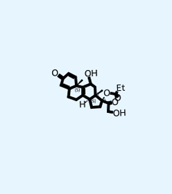 CCC(=O)O[C@]1(C(=O)CO)CC[C@H]2C3=C(C(O)C[C@@]21C)[C@@]1(C)C=CC(=O)C=C1CC3